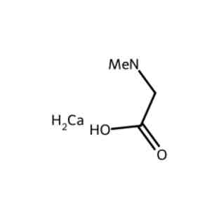 CNCC(=O)O.[CaH2]